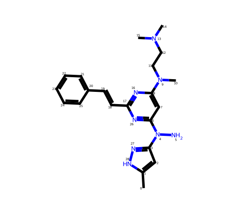 Cc1cc(N(N)c2cc(N(C)CCN(C)C)nc(/C=C/c3ccccc3)n2)n[nH]1